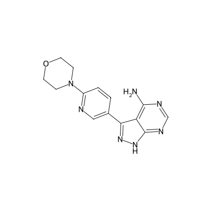 Nc1ncnc2[nH]nc(-c3ccc(N4CCOCC4)nc3)c12